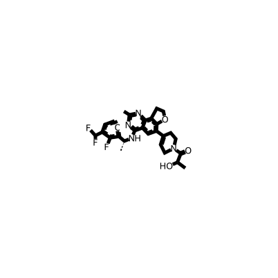 Cc1nc(N[C@H](C)c2cccc(C(F)F)c2F)c2cc(C3=CCN(C(=O)C(C)O)CC3)c3c(c2n1)CCO3